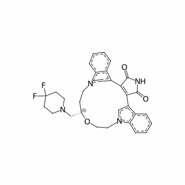 O=C1NC(=O)C2=C1c1cn(c3ccccc13)CCO[C@H](CN1CCC(F)(F)CC1)CCn1cc2c2ccccc21